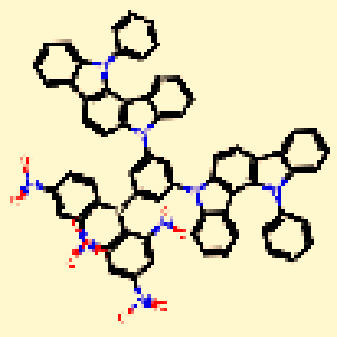 O=[N+]([O-])c1ccc(B(c2cc(-n3c4ccccc4c4c3ccc3c5ccccc5n(-c5ccccc5)c34)cc(-n3c4ccccc4c4c3ccc3c5ccccc5n(-c5ccccc5)c34)c2)c2c([N+](=O)[O-])cc([N+](=O)[O-])cc2[N+](=O)[O-])c([N+](=O)[O-])c1